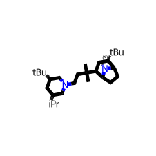 CC(C)C1CC(C(C)(C)C)CN(CCC(C)(C)C2C[C@@H](C(C)(C)C)C3CCC2N3C)C1